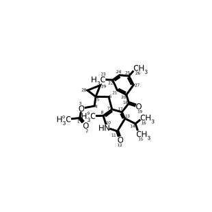 CC(=O)OCC1(Cc2c(C)[nH]c(=O)c(C(C)C)c2C(=O)c2cc(C)cc(C)c2)CC1